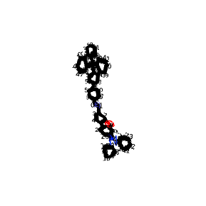 C(=C\c1ccc2c(c1)oc1cc(N(c3ccccc3)c3ccccc3)ccc12)/c1ccc(-c2ccc(C(c3ccccc3)(c3ccccc3)c3ccccc3)cc2)cc1